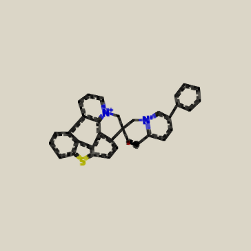 c1ccc(-c2ccc3[n+](c2)CC2(C[n+]4cccc5c6cccc7sc8ccc2c(c8c76)c54)c2ccccc2-3)cc1